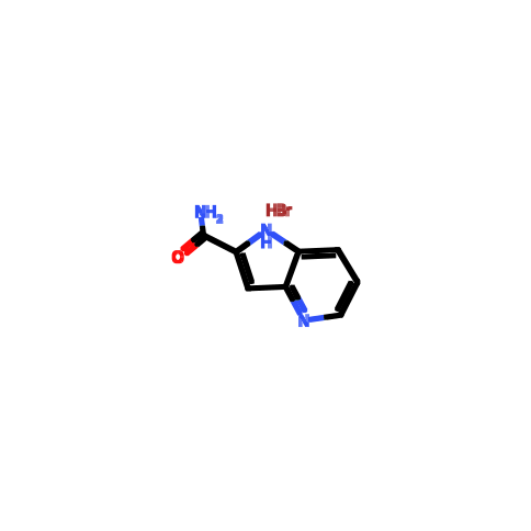 Br.NC(=O)c1cc2ncccc2[nH]1